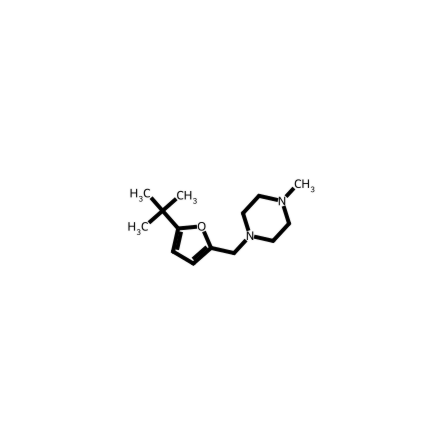 CN1CCN(Cc2ccc(C(C)(C)C)o2)CC1